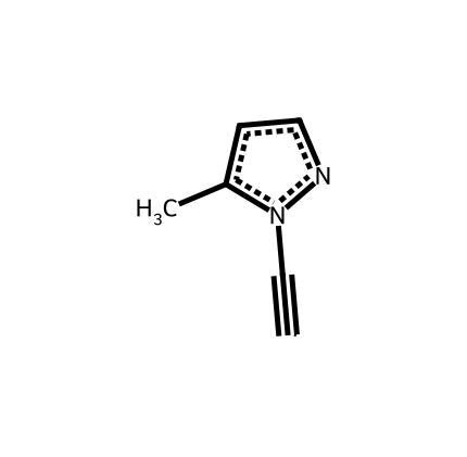 [C]#Cn1nccc1C